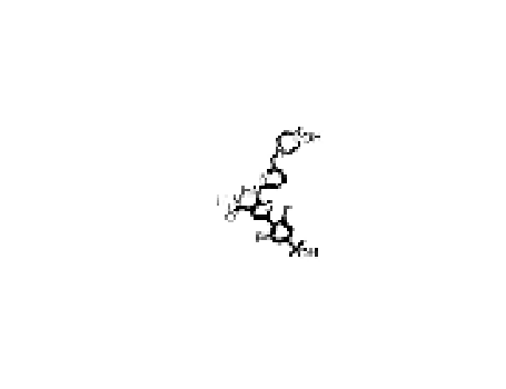 CC(C)(O)c1cc(F)c(-c2cc(C(N)=O)c(Nc3cccc(CN4CC[P](C)(O)CC4)n3)s2)c(F)c1